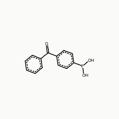 O=C(c1ccccc1)c1ccc(P(O)O)cc1